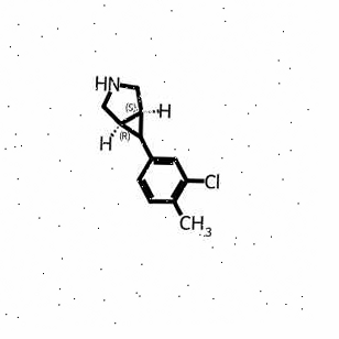 Cc1ccc(C2[C@H]3CNC[C@@H]23)cc1Cl